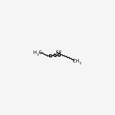 CCCCCCCCCCCCc1ccc(-c2ccc(-c3ccc(CCCCCCCC)cc3)cc2)c(F)c1F